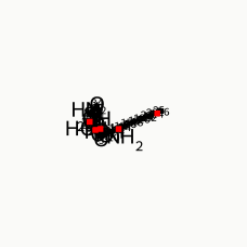 [2H]C([2H])(OP(=O)(O)OC[C@H](N)CCCCCCCCCCCCCCCC)[C@H]1O[C@@H](n2ccc(=O)[nH]c2=S)C(C)(O)[C@H]1O